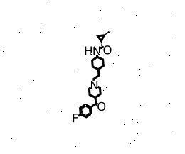 C[C@@H]1C[C@H]1C(=O)NC1CCC(CCN2CCC(C(=O)c3ccc(F)cc3)CC2)CC1